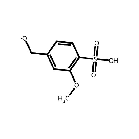 COc1cc(C[O])ccc1S(=O)(=O)O